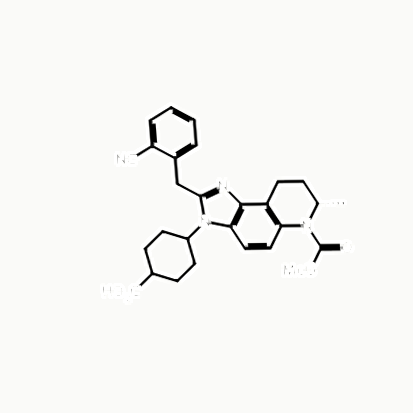 COC(=O)N1c2ccc3c(nc(Cc4ccccc4C#N)n3C3CCC(C(=O)O)CC3)c2CC[C@@H]1C